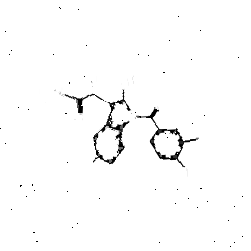 Cc1c([C@@H](C)C(N)=O)c2cc(O)ccc2n1C(=O)c1ccc(F)c(F)c1